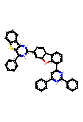 C1=CC2c3cccc(-c4cc(-c5ccccc5)nc(-c5ccccc5)n4)c3OC2C=C1c1nc(-c2ccccc2)c2sc3ccccc3c2n1